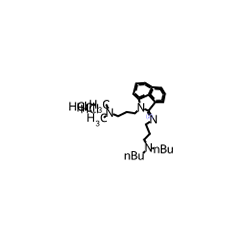 CCCCN(CCCC)CCC/N=C1/c2cccc3cccc(c23)N1CCCN(C)C.Cl.Cl.Cl